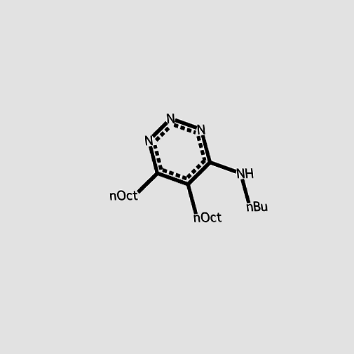 CCCCCCCCc1nnnc(NCCCC)c1CCCCCCCC